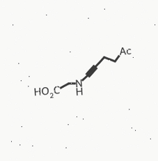 CC(=O)CCC#CNCC(=O)O